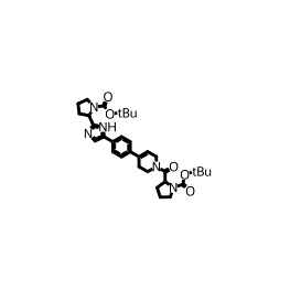 CC(C)(C)OC(=O)N1CCCC1C(=O)N1CC=C(c2ccc(-c3cnc(C4CCCN4C(=O)OC(C)(C)C)[nH]3)cc2)CC1